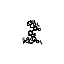 Cc1cc(Cl)cc(-c2ccnc3cc(CN(C)C(=O)/C=C\N(C=O)CC(F)(F)F)sc23)c1CC1CNCCO1